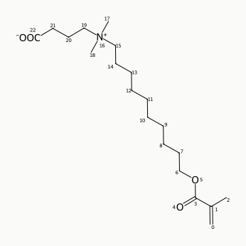 C=C(C)C(=O)OCCCCCCCCCC[N+](C)(C)CCCC(=O)[O-]